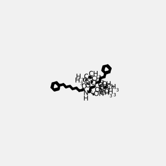 CC(C)(C)[Si](C)(C)O[C@@H]([C@H](CO)NC(=O)CCCCCCc1ccccc1)[C@H](CCCCc1ccccc1)O[Si](C)(C)C(C)(C)C